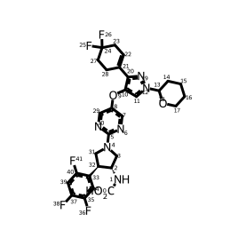 O=C(O)N[C@H]1CN(c2ncc(Oc3cn(C4CCCCO4)nc3C3=CCC(F)(F)CC3)cn2)C[C@@H]1c1cc(F)c(F)cc1F